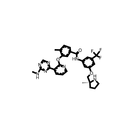 CNc1ncnc(-c2cccnc2Oc2cc(C(=O)Nc3cc(OC[C@]4(C)CCCN4)cc(C(F)(F)F)c3)ccc2C)n1